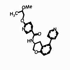 CO[C@H](C)COc1ccc(C(=O)N[C@@H]2COc3cccc(-c4ccncc4)c3C2)cn1